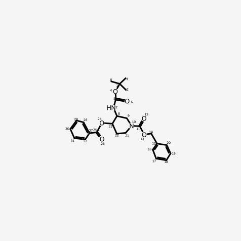 CC(C)(C)OC(=O)NC1CN(C(=O)OCc2ccccc2)CCC1OC(=O)c1ccccc1